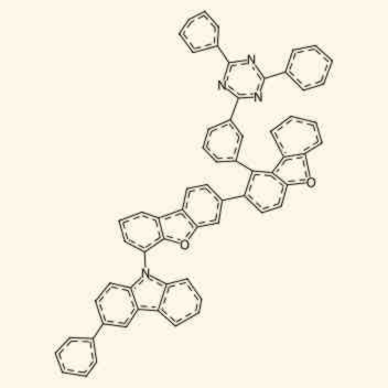 c1ccc(-c2ccc3c(c2)c2ccccc2n3-c2cccc3c2oc2cc(-c4ccc5oc6ccccc6c5c4-c4cccc(-c5nc(-c6ccccc6)nc(-c6ccccc6)n5)c4)ccc23)cc1